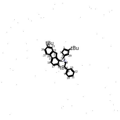 CC(C)(C)C1=CC[C](/[Zr](=[CH]/Cc2ccccc2)[c]2c(C(C)(C)C)ccc3c2Cc2cc(C(C)(C)C)ccc2-3)=C1